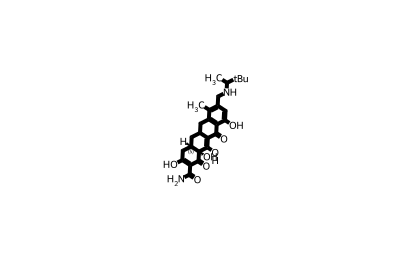 Cc1c(CNC(C)C(C)(C)C)cc(O)c2c1CC1C[C@H]3CC(O)=C(C(N)=O)C(=O)[C@@]3(O)C(O)=C1C2=O